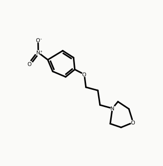 O=[N+]([O-])c1ccc(OCCCN2CCOCC2)cc1